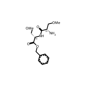 COC[C@H](NC(=O)[C@@H](N)COC)C(=O)OCc1ccccc1